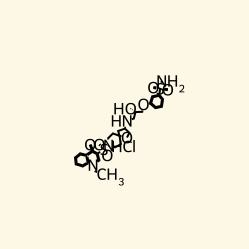 CCn1cc(S(=O)(=O)N2CCC3(CC2)C[C@@H](NC[C@H](O)COc2cccc(S(N)(=O)=O)c2)CO3)c(=O)c2ccccc21.Cl